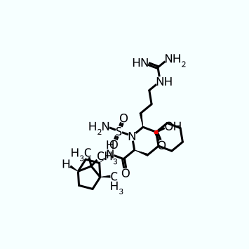 CC1(C)[C@@H]2CC[C@@]1(C)[C@@H](NC(=O)[C@H](CC1CCCCC1)N([C@@H](CCCNC(=N)N)C(=O)O)S(N)(=O)=O)C2